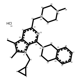 Cc1c(C)n(CC2CC2)c2c(N3CCc4ccccc4C3)nc(CN3CCN(C)CC3)cc12.Cl